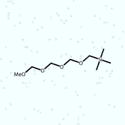 COCOCOCOC[Si](C)(C)C